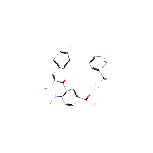 CN1c2ccc(C(=O)O)cc2C(=O)/C(=C\c2ccc(Cl)cc2)[S+]1[O-].NC(=O)c1cccnc1